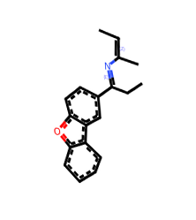 C/C=C(C)\N=C(/CC)c1ccc2oc3ccccc3c2c1